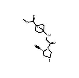 COC(=O)C12CCC(NCC(=O)N3C[C@@H](F)C[C@H]3C#N)(CC1)CC2